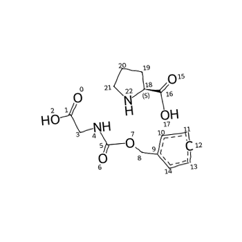 O=C(O)CNC(=O)OCc1ccccc1.O=C(O)[C@@H]1CCCN1